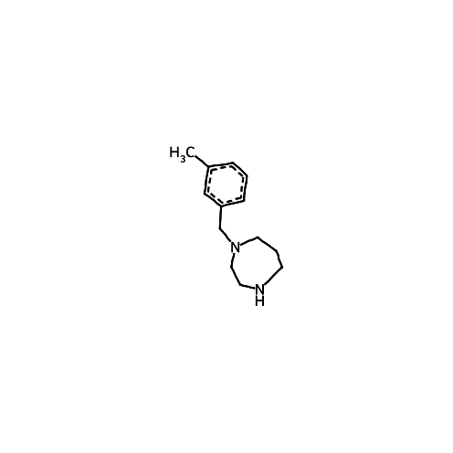 Cc1cccc(CN2CCCNCC2)c1